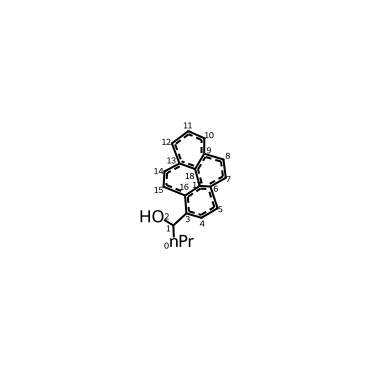 CCCC(O)c1ccc2ccc3cccc4ccc1c2c34